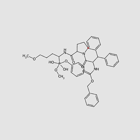 COCCCC(NC(=O)C1CCCN1C(=O)C(NC(=O)OCc1ccccc1)C(c1ccccc1)c1ccccc1)P(O)(O)(OC)Oc1ccccc1